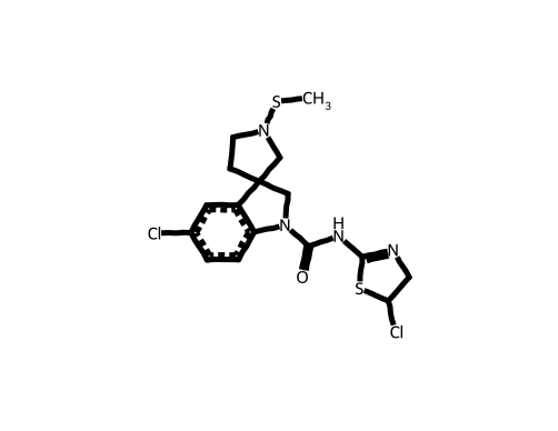 CSN1CCC2(C1)CN(C(=O)NC1=NCC(Cl)S1)c1ccc(Cl)cc12